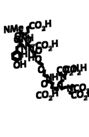 CNC(=O)[C@@H](CCC(=O)O)NC(=O)[C@H](Cc1ccc(O)cc1)NC(=O)[C@H](CC(=O)O)NC(=O)COCCOCCNC(=O)CC[C@@H](C(=O)O)N(CCN(CC(=O)O)CC(=O)O)CCN(CC(=O)O)CC(=O)O